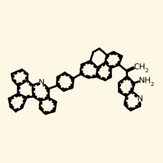 C=C(c1ccc2cccnc2c1N)c1ccc2c3c1ccc1cc(-c4ccc(-c5nc6c7ccccc7c7ccccc7c6c6ccccc56)cc4)cc(c13)CC2